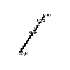 O=[C]CCC(=O)NCCOCCOCCNC(=O)CCCCCCCCCCCCCCC(=O)O